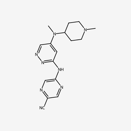 CN1CCC(N(C)c2cnnc(Nc3cnc(C#N)cn3)c2)CC1